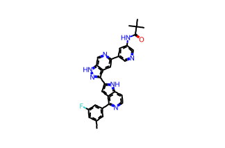 Cc1cc(F)cc(-c2nccc3[nH]c(-c4n[nH]c5cnc(-c6cncc(NC(=O)C(C)(C)C)c6)cc45)cc23)c1